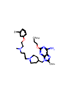 CCc1cccc(OCCN(C)CCCN2CCC(Cn3c(OC)nc4c(N)nc(OCCOC)nc43)CC2)c1